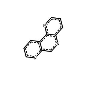 [c]1ccc2c(cnc3cccnc32)n1